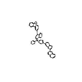 c1ccc(N(c2ccc(-c3ccc4ccc(-c5ccc6ccccc6c5)cc4c3)cc2)c2ccc(-c3ccc4oc5ccccc5c4c3)c3ccccc23)cc1